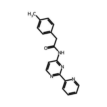 Cc1ccc(CC(=O)Nc2ccnc(-c3ccccn3)n2)cc1